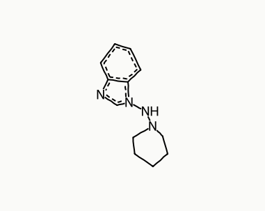 c1ccc2c(c1)ncn2NN1CCCCC1